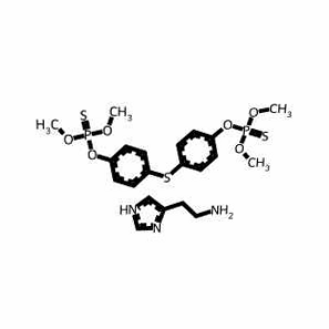 COP(=S)(OC)Oc1ccc(Sc2ccc(OP(=S)(OC)OC)cc2)cc1.NCCc1c[nH]cn1